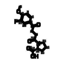 COc1ccc(C(=O)CCC(=O)N2CCC[C@H]2C(=O)O)cc1F